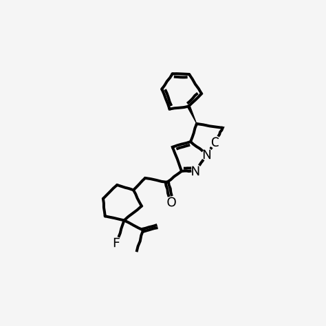 C=C(C)C1(F)CCCC(CC(=O)c2cc3n(n2)CC[C@@H]3c2ccccc2)C1